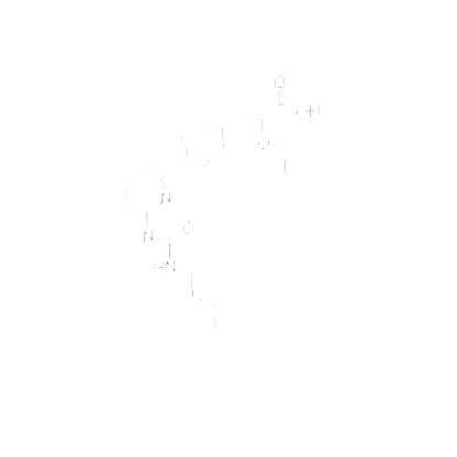 CCCCNC(=O)N(C)c1cccc(-c2ccc(CC(OCC)C(=O)O)cc2)n1